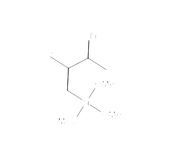 CO[Si](CC(C)C(C)C(C)C)(OC)OC